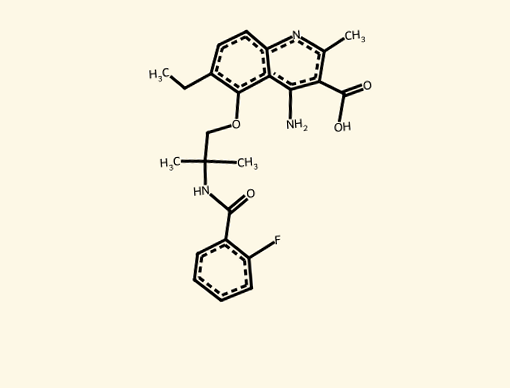 CCc1ccc2nc(C)c(C(=O)O)c(N)c2c1OCC(C)(C)NC(=O)c1ccccc1F